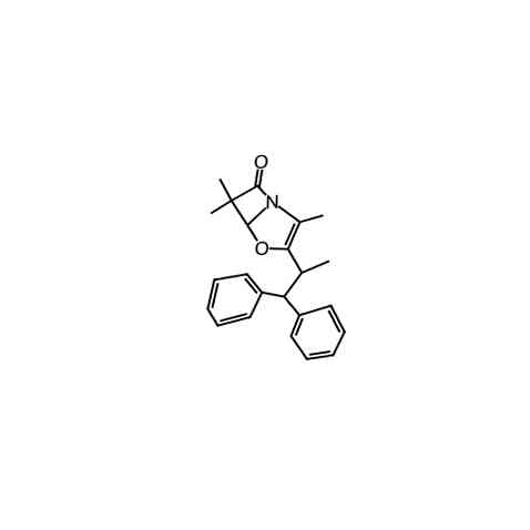 CC1=C(C(C)C(c2ccccc2)c2ccccc2)OC2N1C(=O)C2(C)C